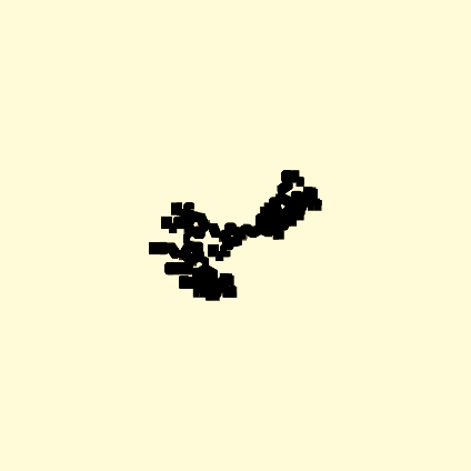 C=CC[C@@H]1O[C@@H]2[C@H]3O[C@@H]4CC(CC[C@H]5CC(=C)[C@H](CC[C@H]6C[C@@H](C)C(=C)[C@@H](C[C@@H]7O[C@H](C[C@@H](CO[Si](CC)(CC)CC)O[Si](CC)(CC)CC)[C@H](OC)[C@H]7CCO)O6)O5)(O[C@H]3[C@H]1O[Si](CC)(CC)CC)O[C@H]24